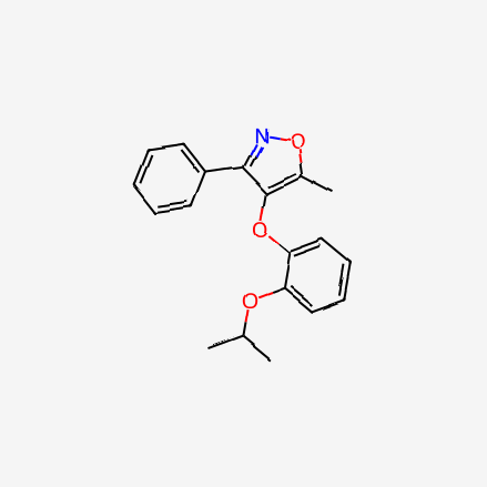 Cc1onc(-c2ccccc2)c1Oc1ccccc1OC(C)C